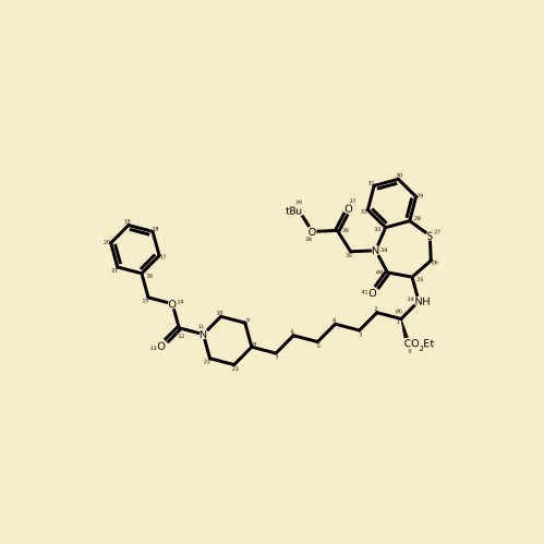 CCOC(=O)[C@@H](CCCCCCC1CCN(C(=O)OCc2ccccc2)CC1)NC1CSc2ccccc2N(CC(=O)OC(C)(C)C)C1=O